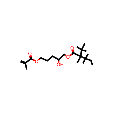 C=C(C)C(=O)OCCCC(O)COC(=O)C(C)(C(C)(C)C)C(C)(C)CC